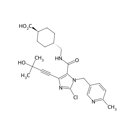 Cc1ccc(Cn2c(Cl)nc(C#CC(C)(C)O)c2C(=O)NC[C@H]2CC[C@H](C(=O)O)CC2)cn1